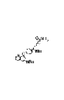 CCCCc1cc(OC2CCN(C(CCCOC(N)=O)C(C)(C)C)CC2)c2ncccc2c1